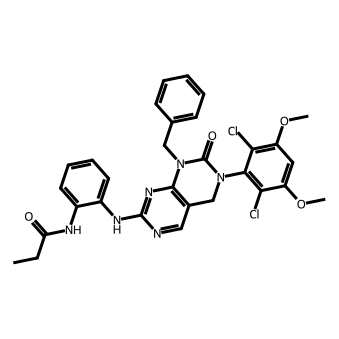 CCC(=O)Nc1ccccc1Nc1ncc2c(n1)N(Cc1ccccc1)C(=O)N(c1c(Cl)c(OC)cc(OC)c1Cl)C2